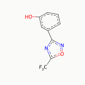 Oc1[c]ccc(-c2noc(C(F)(F)F)n2)c1